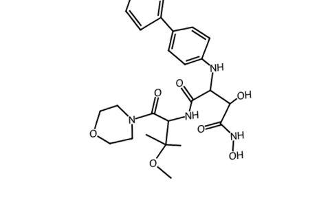 COC(C)(C)C(NC(=O)C(Nc1ccc(-c2ccccc2)cc1)C(O)C(=O)NO)C(=O)N1CCOCC1